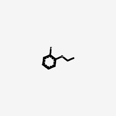 CCOc1cc[c]cc1F